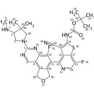 CNC1CN(c2ncc3c4c(c(-c5ncc(F)c6sc(NC(=O)OC(C)(C)C)c(C#N)c56)c(F)c3n2)COC4)CC1(C)C